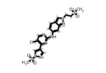 CS(=O)(=O)CCn1cc2ccc(Nc3ncc(Cl)c(-c4cnn(S(C)(=O)=O)c4)n3)cc2n1